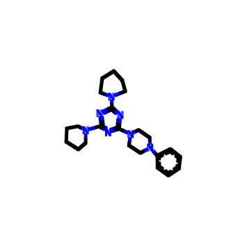 c1ccc(N2CCN(c3nc(N4CCCCC4)nc(N4CCCCC4)n3)CC2)cc1